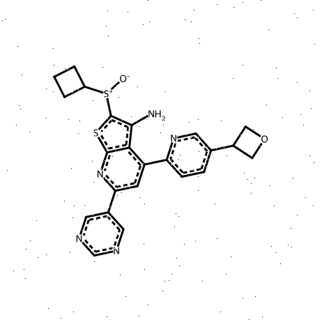 Nc1c([S+]([O-])C2CCC2)sc2nc(-c3cncnc3)cc(-c3ccc(C4COC4)cn3)c12